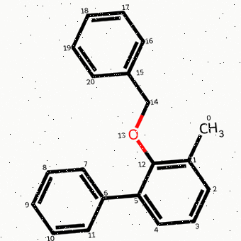 Cc1cccc(-c2ccccc2)c1OCc1ccccc1